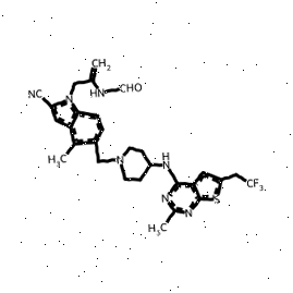 C=C(Cn1c(C#N)cc2c(C)c(CN3CCC(Nc4nc(C)nc5sc(CC(F)(F)F)cc45)CC3)ccc21)NC=O